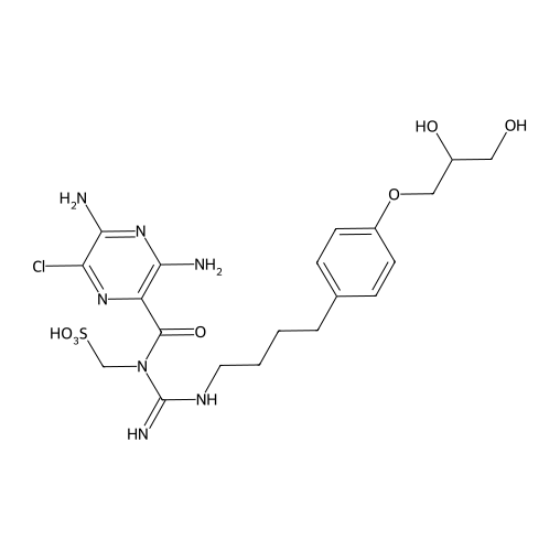 N=C(NCCCCc1ccc(OCC(O)CO)cc1)N(CS(=O)(=O)O)C(=O)c1nc(Cl)c(N)nc1N